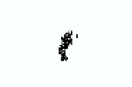 COC(=O)c1ccc2nc(CN3CCCCC(c4cccc(OCc5ccccc5)n4)CC3)n(C[C@@H]3CCO3)c2c1